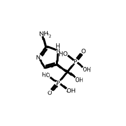 Nc1ncc(C(O)(P(=O)(O)O)P(=O)(O)O)[nH]1